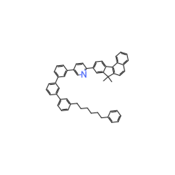 CC1(C)c2cc(-c3ccc(-c4cccc(-c5cccc(-c6cccc(CCCCCCc7ccccc7)c6)c5)c4)cn3)ccc2-c2c1ccc1ccccc21